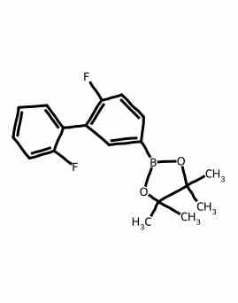 CC1(C)OB(c2ccc(F)c(-c3ccccc3F)c2)OC1(C)C